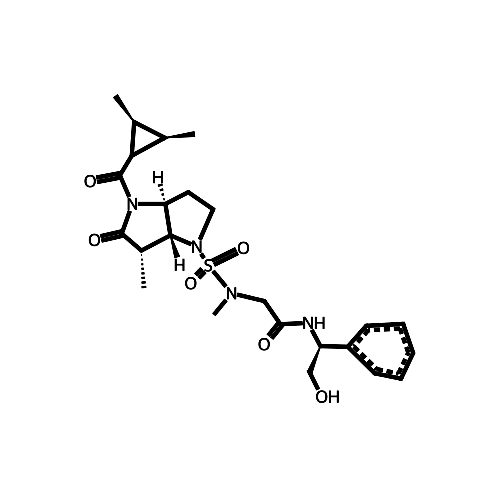 C[C@@H]1C(=O)N(C(=O)C2[C@@H](C)[C@H]2C)[C@H]2CCN(S(=O)(=O)N(C)CC(=O)N[C@H](CO)c3ccccc3)[C@H]12